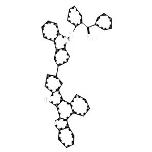 N=C(c1ccccc1)c1ccccc1Nn1c2ccccc2c2cc(-c3ccc4[nH]c5c6sc7ccccc7c6c6ccccc6c5c4c3)ccc21